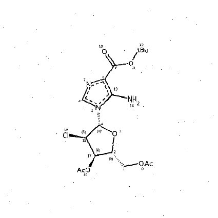 CC(=O)OC[C@H]1O[C@@H](n2cnc(C(=O)OC(C)(C)C)c2N)[C@H](Cl)[C@@H]1OC(C)=O